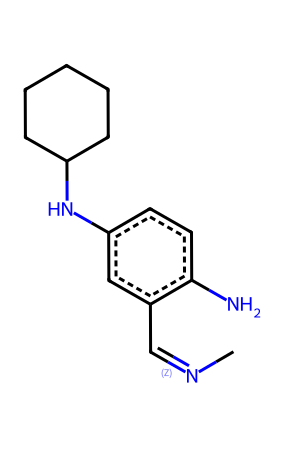 C/N=C\c1cc(NC2CCCCC2)ccc1N